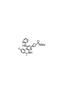 CNC(=O)C1CN(c2cc(Nc3cnccn3)nc(N[C@@H](C)c3ccc(F)cc3)n2)C1